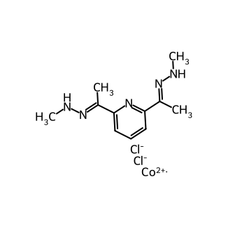 CNN=C(C)c1cccc(C(C)=NNC)n1.[Cl-].[Cl-].[Co+2]